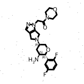 N[C@H]1C[C@@H](N2Cc3cnn(CC(=O)N4CCOCC4)c3C2)CO[C@@H]1c1cc(F)ccc1F